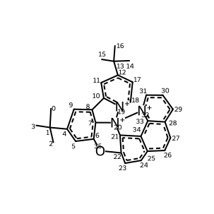 CC(C)(C)c1cc2c3c(c1)-c1cc(C(C)(C)C)cc[n+]1[N+]31c3c(ccc4ccc5ccc[n+]1c5c34)O2